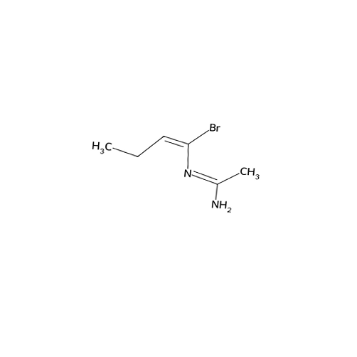 CC/C=C(Br)\N=C(/C)N